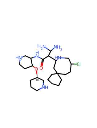 NC(N)C(C(=O)NC1CNCCC1O[C@@H]1CCCNC1)C1CC2(CCCCC2)CCC(Cl)CN1